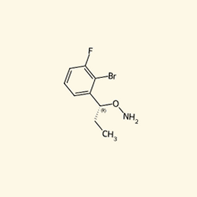 CC[C@@H](ON)c1cccc(F)c1Br